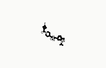 CC(C)n1ncc2ccc(-c3noc(C4CCN(C(=O)C56CC(F)(C5)C6)CC4)n3)cc21